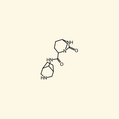 O=C(NC1C2CCC1CNC2)C1CCC2CN1C(=O)N2